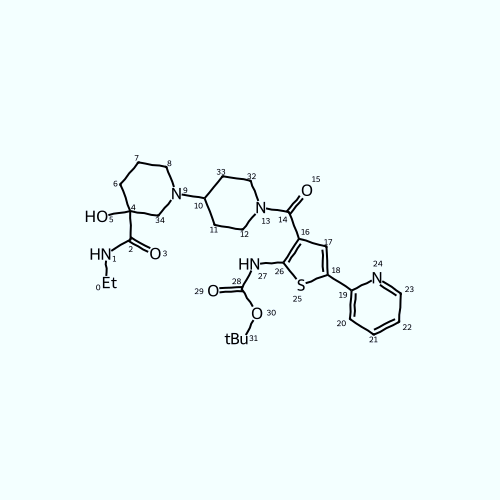 CCNC(=O)C1(O)CCCN(C2CCN(C(=O)c3cc(-c4ccccn4)sc3NC(=O)OC(C)(C)C)CC2)C1